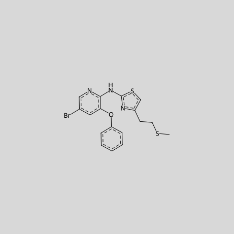 CSCCc1csc(Nc2ncc(Br)cc2Oc2ccccc2)n1